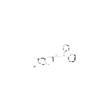 O=C(NCC1c2ccccc2-c2cncn21)Nc1cc(F)c(Br)cc1F